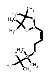 CC1(C)OB(/C=C\CO[Si](C)(C)C(C)(C)C)OC1(C)C